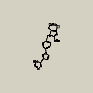 CCCCc1nc(Cl)c(COC)n1Cc1ccc(-n2ccc(-c3nnn[nH]3)c2)cc1